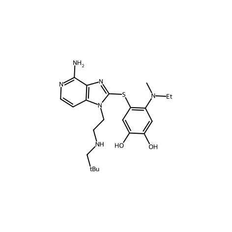 CCN(C)c1cc(O)c(O)cc1Sc1nc2c(N)nccc2n1CCNCC(C)(C)C